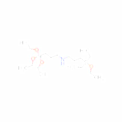 CCO[Si](CC)(CC)CCCNCCC[Si](OCC)(OCC)OCC